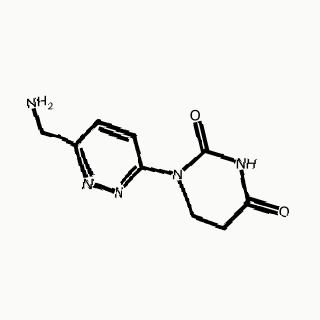 NCc1ccc(N2CCC(=O)NC2=O)nn1